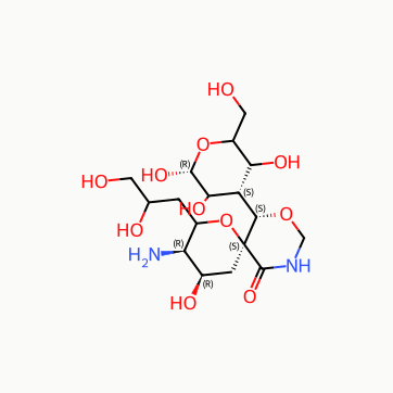 N[C@H]1C(CC(O)CO)O[C@]2(C[C@H]1O)C(=O)NCO[C@H]2[C@H]1C(O)C(CO)O[C@@H](O)C1O